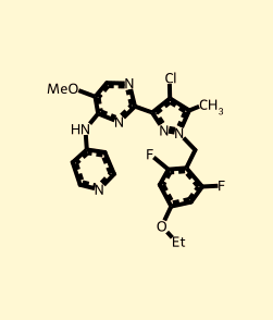 CCOc1cc(F)c(Cn2nc(-c3ncc(OC)c(Nc4ccncc4)n3)c(Cl)c2C)c(F)c1